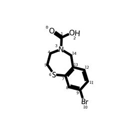 O=C(O)N1CCSc2cc(Br)ccc2C1